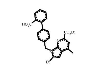 CCOC(=O)c1cc(C)c2cc(CC)n(Cc3ccc(-c4ccccc4C(=O)O)cc3)c2n1